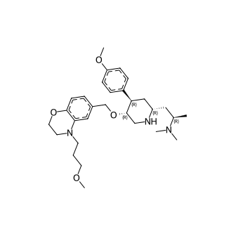 COCCCN1CCOc2ccc(CO[C@H]3CN[C@@H](C[C@@H](C)N(C)C)C[C@@H]3c3ccc(OC)cc3)cc21